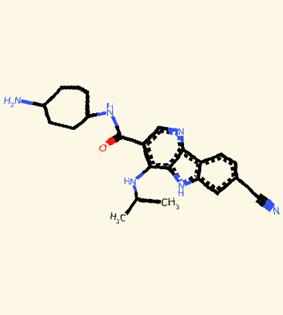 CC(C)Nc1c(C(=O)NC2CCC(N)CC2)cnc2c1[nH]c1cc(C#N)ccc12